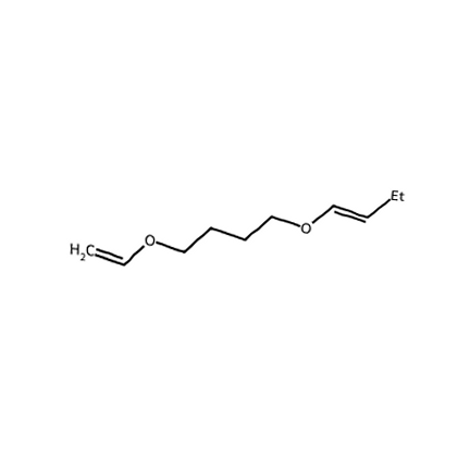 C=COCCCCOC=CCC